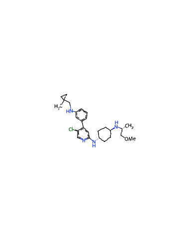 COC[C@@H](C)N[C@H]1CC[C@H](Nc2cc(-c3cccc(NCC4(C)CC4)c3)c(Cl)cn2)CC1